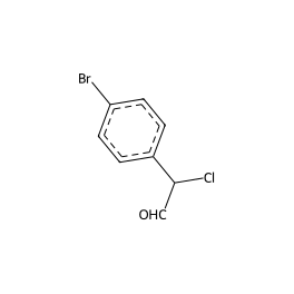 O=CC(Cl)c1ccc(Br)cc1